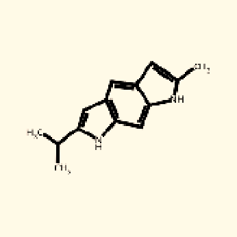 Cc1cc2cc3cc(C(C)C)[nH]c3cc2[nH]1